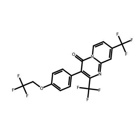 O=c1c(-c2ccc(OCC(F)(F)F)cc2)c(C(F)(F)F)nc2cc(C(F)(F)F)ccn12